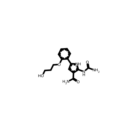 NC(=O)Nc1[nH]c(-c2ccccc2OCCCO)cc1C(N)=O